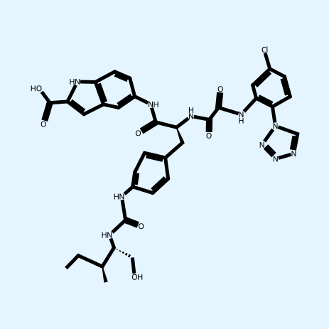 CC[C@H](C)[C@@H](CO)NC(=O)Nc1ccc(C[C@H](NC(=O)C(=O)Nc2cc(Cl)ccc2-n2cnnn2)C(=O)Nc2ccc3[nH]c(C(=O)O)cc3c2)cc1